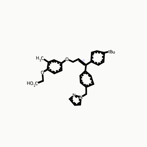 Cc1cc(OC/C=C(\c2ccc(Cn3cccn3)cc2)c2ccc(C(C)(C)C)cc2)ccc1OCC(=O)O